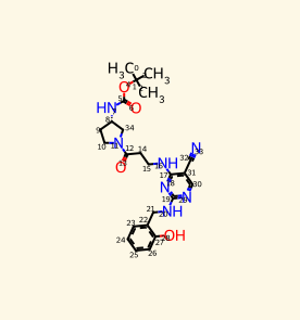 CC(C)(C)OC(=O)N[C@H]1CCN(C(=O)CCNc2nc(NCc3ccccc3O)ncc2C#N)C1